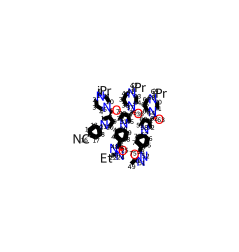 CC(C)N1CCCN(C(=O)[C@H]2CCN(c3ccc(C#N)cc3)C2)CC1.CCc1noc(-c2ccc(N3CC[C@H](C(=O)N4CCCN(C(C)C)CC4)C3)cc2)n1.Cc1nnc(-c2ccc(N3CC[C@H](C(=O)N4CCCN(C(C)C)CC4)C3)cc2)o1